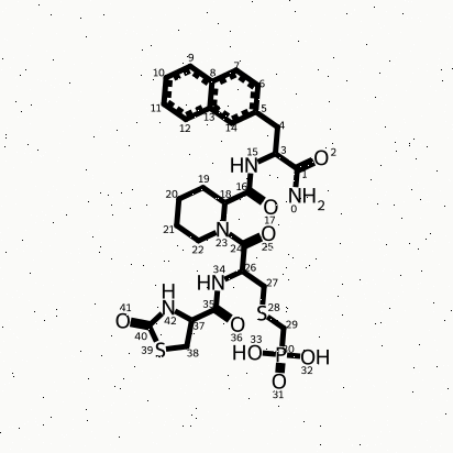 NC(=O)C(Cc1ccc2ccccc2c1)NC(=O)C1CCCCN1C(=O)C(CSCP(=O)(O)O)NC(=O)C1CSC(=O)N1